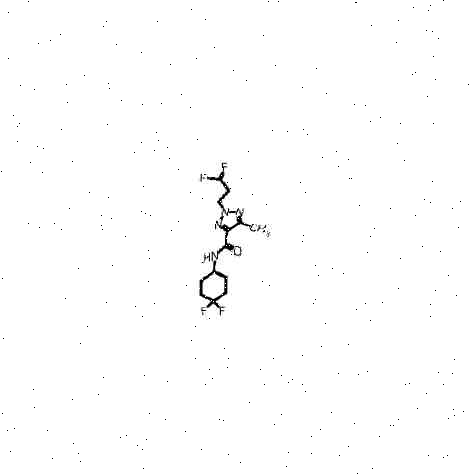 Cc1nn(CCC(F)F)nc1C(=O)NC1CCC(F)(F)CC1